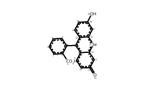 O=C(O)c1ccccc1-c1c2ccc(=O)cc-2[se]c2cc(O)ccc12